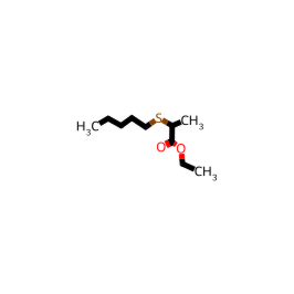 CCCCCSC(C)C(=O)OCC